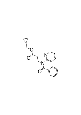 O=C(CCN(C(=O)C1=CC=C=C=C1)c1ccccn1)OCC1CC1